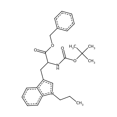 CCCn1cc(CC(NC(=O)OC(C)(C)C)C(=O)OCc2ccccc2)c2ccccc21